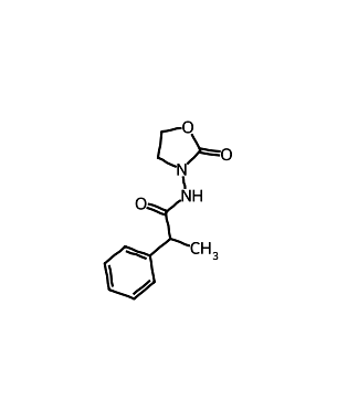 CC(C(=O)NN1CCOC1=O)c1ccccc1